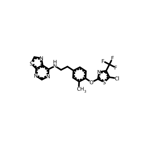 Cc1cc(CCNc2ncnc3scnc23)ccc1Oc1nc(C(F)(F)F)c(Cl)s1